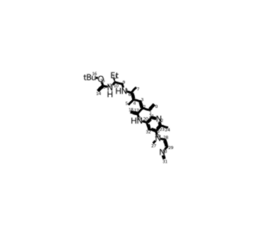 C=C/C(=C/C(C)=C(\C)NC[C@H](CC)NC(=C)OC(C)(C)C)C(=C)Nc1cnc(C)c(N(C)/C=C\N=C)c1